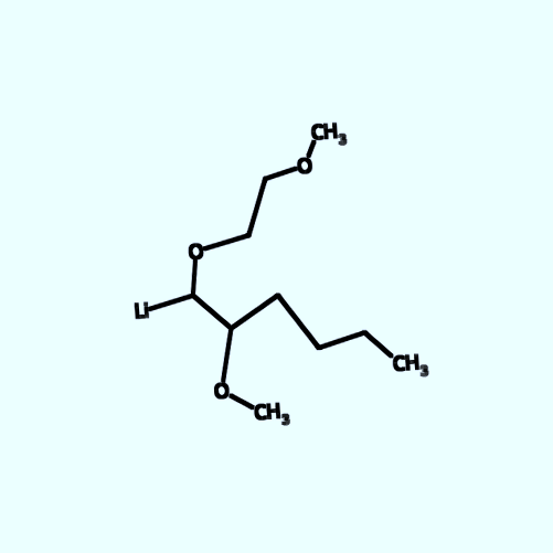 [Li][CH](OCCOC)C(CCCC)OC